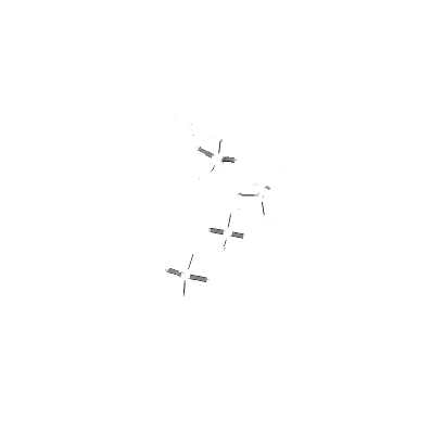 O=S(=O)([O-])[O-].O=S(=O)([O-])[O-].O=S(=O)([O-])[O-].O=[N+]([O-])O.[Al+3].[Al+3]